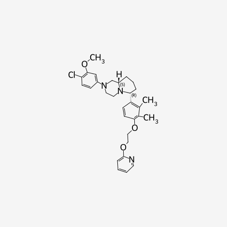 COc1cc(N2CCN3[C@@H](CCC[C@@H]3c3ccc(OCCOc4ccccn4)c(C)c3C)C2)ccc1Cl